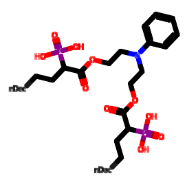 CCCCCCCCCCCCC(C(=O)OCCN(CCOC(=O)C(CCCCCCCCCCCC)P(=O)(O)O)c1ccccc1)P(=O)(O)O